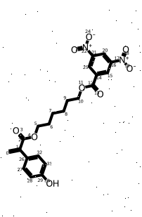 C=C(C(=O)OCCCCCCOC(=O)c1cc([N+](=O)[O-])cc([N+](=O)[O-])c1)c1ccc(O)cc1